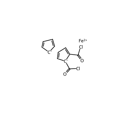 O=C(Cl)c1ccc[c-]1C(=O)Cl.[Fe+2].c1cc[cH-]c1